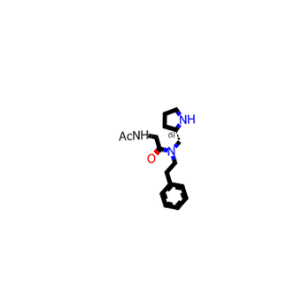 CC(=O)NCC(=O)N(CCc1ccccc1)C[C@@H]1CCCN1